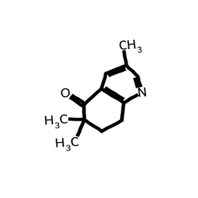 Cc1cnc2c(c1)C(=O)C(C)(C)CC2